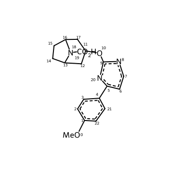 COc1ccc(-c2ccnc(OC3CC4CCC(C3)N4C(=O)O)n2)cc1